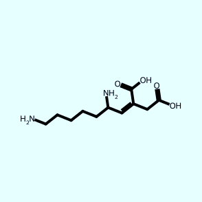 NCCCCCC(N)C=C(CC(=O)O)C(=O)O